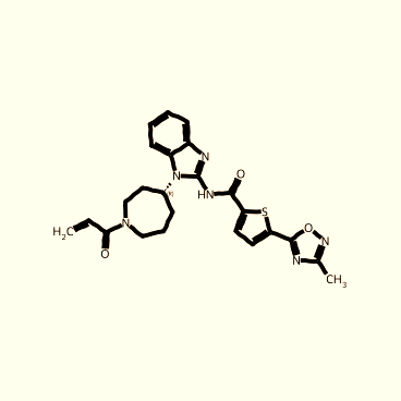 C=CC(=O)N1CCC[C@@H](n2c(NC(=O)c3ccc(-c4nc(C)no4)s3)nc3ccccc32)CC1